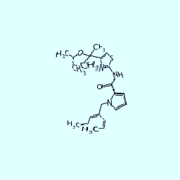 C=C/C=C(\C=C/C)Cn1cccc1C(=O)Nc1nc(C(C)(C)OC(C)C)cs1